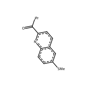 CSc1ccc2nc(C(=O)C(C)C)ccc2c1